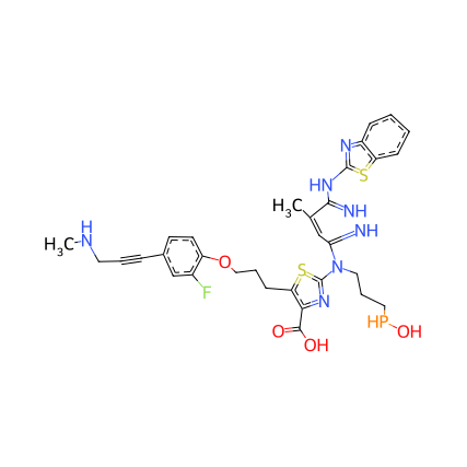 CNCC#Cc1ccc(OCCCc2sc(N(CCCPO)C(=N)/C=C(/C)C(=N)Nc3nc4ccccc4s3)nc2C(=O)O)c(F)c1